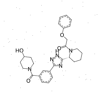 O=C(c1cccc(-c2n[nH]c([C@H]3CCCCN3C(=O)COc3ccccc3)n2)c1)N1CCC(O)CC1